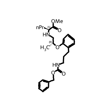 CCC[C@H](NC[C@@H](C)Oc1ccccc1CCCNC(=O)OCc1ccccc1)C(=O)OC